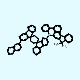 CC1(C)c2ccccc2-c2ccc(N(c3ccc4c(c3)C3(CCC5(CC3)c3ccccc3-c3ccc(-c6ccc7ccccc7c6)cc35)c3ccccc3-4)c3ccccc3-c3ccccc3)cc21